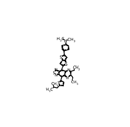 CCc1nc2c(-c3ccc(CC(C)C)s3)c3nsnc3c(-c3cc4sc(-c5ccc(N(C)C)cc5)cc4s3)c2nc1CC